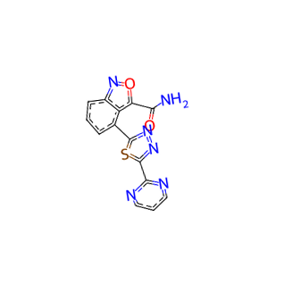 NC(=O)c1onc2cccc(-c3nnc(-c4ncccn4)s3)c12